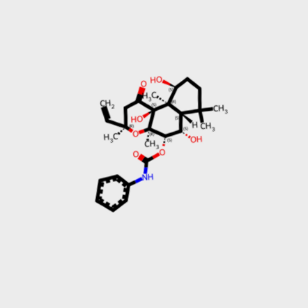 C=C[C@@]1(C)CC(=O)[C@]2(O)[C@@]3(C)[C@@H](O)CCC(C)(C)[C@@H]3[C@H](O)[C@H](OC(=O)Nc3ccccc3)[C@@]2(C)O1